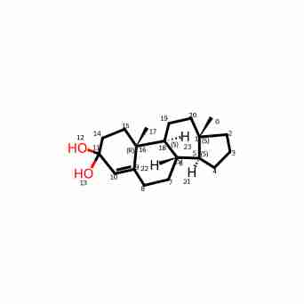 C[C@@]12CCC[C@H]1[C@@H]1CCC3=CC(O)(O)CC[C@]3(C)[C@H]1CC2